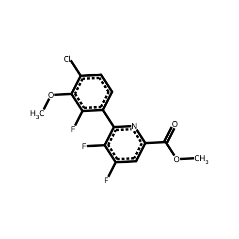 COC(=O)c1cc(F)c(F)c(-c2ccc(Cl)c(OC)c2F)n1